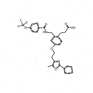 Cc1oc(-c2ccccc2)nc1CCOc1ccc(CCC(=O)O)c(CNC(=O)c2ccc(OC(F)(F)F)cc2)c1